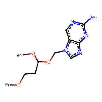 CC(C)OCCC(OCn1cnc2nc(N)ncc21)OC(C)C